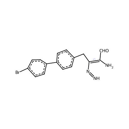 N=N/C(Cc1ccc(-c2ccc(Br)cc2)cc1)=C(\N)C=O